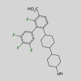 CCCC1CCC(C2CCC(c3ccc(C(=O)O)c(F)c3-c3cc(F)c(F)c(F)c3)CC2)CC1